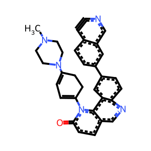 CN1CCN(C2=CC=C(n3c(=O)ccc4cnc5ccc(-c6ccc7c#cncc7c6)cc5c43)CC2)CC1